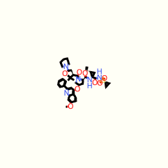 C=C[C@@H]1CC1(NC(=O)[C@H]1C[C@@H](Oc2cc(-c3ccccc3)nc3cc(OC)ccc23)CN1C(=O)[C@H](CC(=O)N1CCCCC1)C(C)(C)C)C(=O)NS(=O)(=O)C1CC1